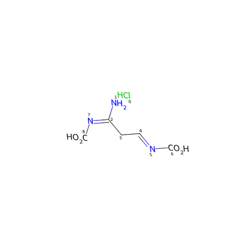 Cl.N/C(C/C=N/C(=O)O)=N/C(=O)O